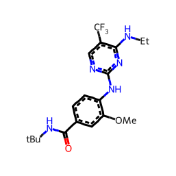 CCNc1nc(Nc2ccc(C(=O)NC(C)(C)C)cc2OC)ncc1C(F)(F)F